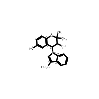 CC1(C)Oc2ccc(C#N)cc2C(n2cc(C(=O)O)c3ccccc32)C1O